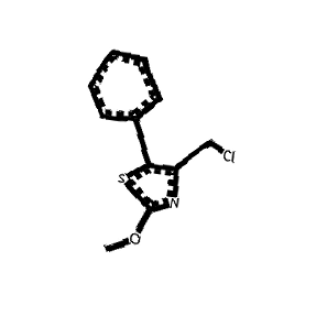 COc1nc(CCl)c(-c2ccccc2)s1